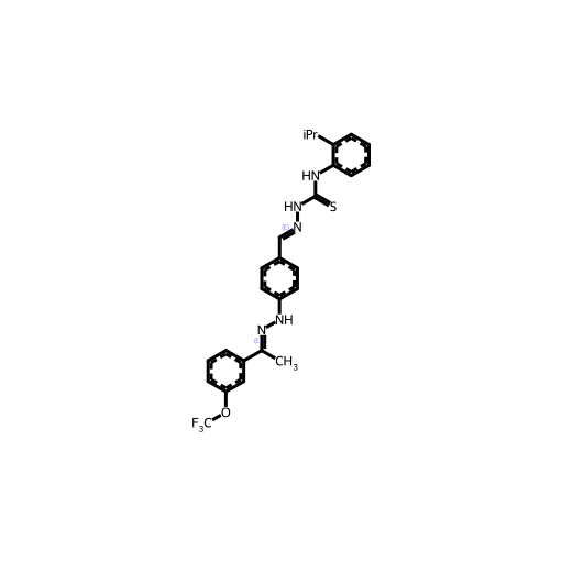 C/C(=N\Nc1ccc(/C=N/NC(=S)Nc2ccccc2C(C)C)cc1)c1cccc(OC(F)(F)F)c1